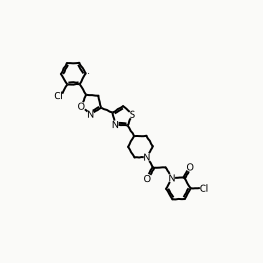 O=C(Cn1cccc(Cl)c1=O)N1CCC(c2nc(C3=NOC(c4[c]cccc4Cl)C3)cs2)CC1